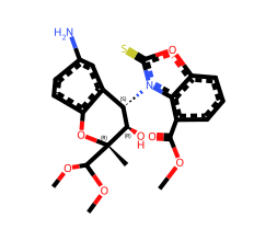 COC(=O)c1cccc2oc(=S)n([C@H]3c4cc(N)ccc4O[C@@](C)(C(OC)OC)[C@@H]3O)c12